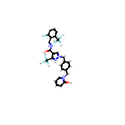 O=C(NCc1c(F)cccc1C(F)(F)F)c1cn(Cc2ccc(Cn3ccccc3=O)cc2)nc1C(F)(F)F